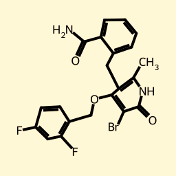 Cc1[nH]c(=O)c(Br)c(OCc2ccc(F)cc2F)c1Cc1ccccc1C(N)=O